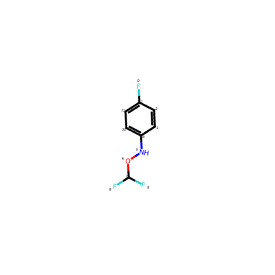 Fc1ccc(NOC(F)F)cc1